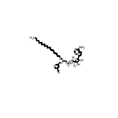 CCCCCCCCCCCCCCCCCCOC[C@H](COP(=O)(O)O[C@@H](C)[C@@]1(C)OC(c2ccc3c(N)ncnn23)[C@H](O)[C@@H]1O)OCc1cncc(C#N)c1